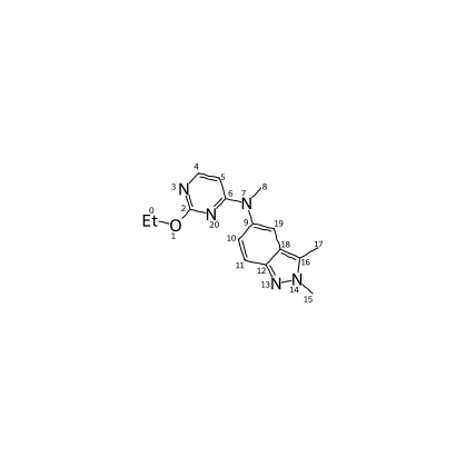 CCOc1nccc(N(C)c2ccc3nn(C)c(C)c3c2)n1